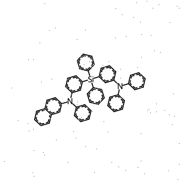 c1ccc(N(c2ccccc2)c2cccc([Si](c3ccccc3)(c3ccccc3)c3cccc(N(c4ccccc4)c4ccc5ccccc5c4)c3)c2)cc1